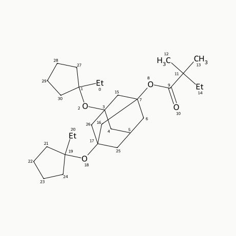 CCC1(OC23CC4CC(OC(=O)C(C)(C)CC)(C2)CC(OC2(CC)CCCC2)(C4)C3)CCCC1